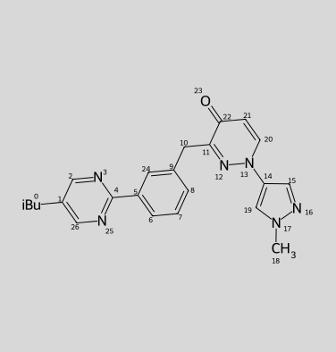 CCC(C)c1cnc(-c2cccc(Cc3nn(-c4cnn(C)c4)ccc3=O)c2)nc1